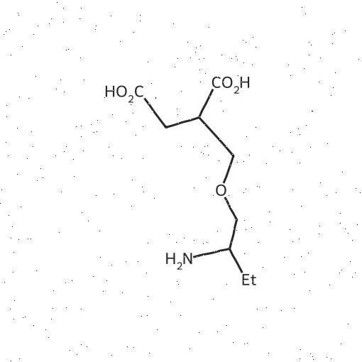 CCC(N)COCC(CC(=O)O)C(=O)O